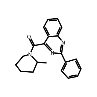 CC1CCCCN1C(=O)c1nc(-c2ccccc2)nc2ccccc12